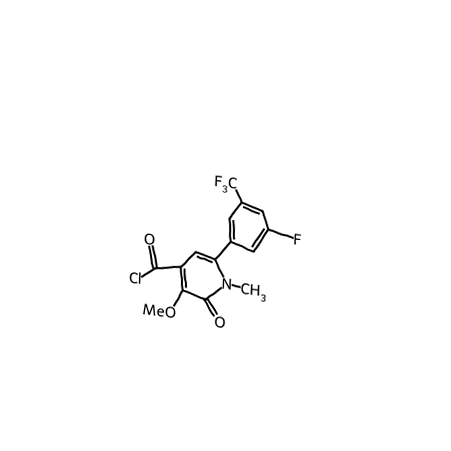 COc1c(C(=O)Cl)cc(-c2cc(F)cc(C(F)(F)F)c2)n(C)c1=O